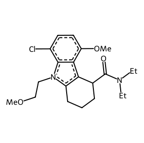 CCN(CC)C(=O)C1CCCc2c1c1c(OC)ccc(Cl)c1n2CCOC